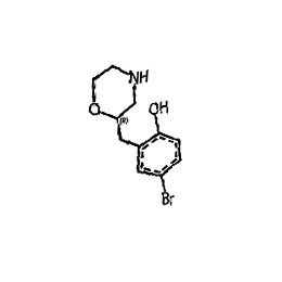 Oc1ccc(Br)cc1C[C@@H]1CNCCO1